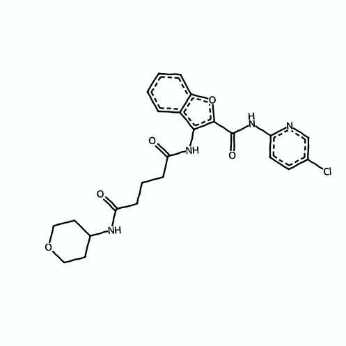 O=C(CCCC(=O)NC1CCOCC1)Nc1c(C(=O)Nc2ccc(Cl)cn2)oc2ccccc12